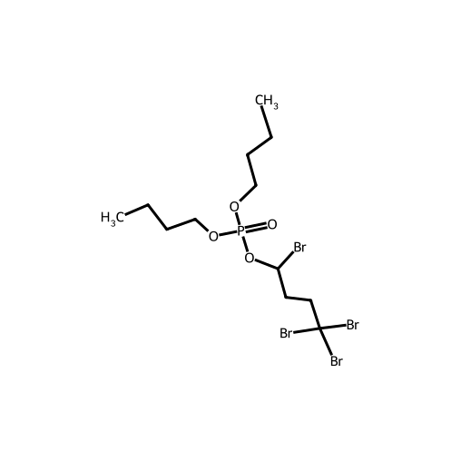 CCCCOP(=O)(OCCCC)OC(Br)CCC(Br)(Br)Br